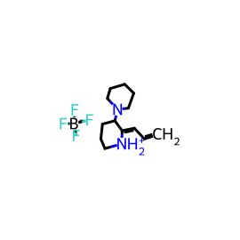 C=CC=C1[NH2+]CCCC1N1CCCCC1.F[B-](F)(F)F